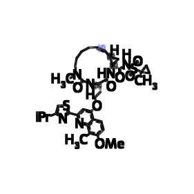 COc1ccc2c(OCC[C@@H]3NC(=O)N(C)CCCC/C=C\[C@@H]4C[C@@]4(C(=O)NS(=O)(=O)C4(C)CC4)NC3=O)cc(-c3nc(C(C)C)cs3)nc2c1C